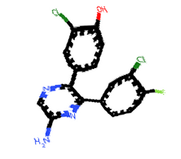 Nc1cnc(-c2ccc(O)c(Cl)c2)c(-c2ccc(F)c(Cl)c2)n1